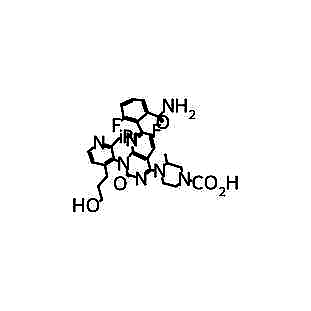 CC(C)c1nccc(CCCO)c1-n1c(=O)nc(N2CCN(C(=O)O)CC2C)c2cc(F)c(-c3c(F)cccc3C(N)=O)nc21